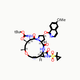 COc1ccc2c(O[C@@H]3C[C@H]4C(=O)N[C@]5(C(=O)NS(=O)(=O)C6(C)CC6)C[C@H]5/C=C\CO[C@@H](C)C[C@@H](C)[C@H](NC(=O)OC(C)(C)C)C(=O)N4C3)nccc2c1